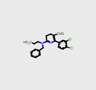 O=CC1=C(c2ccc(Cl)c(Cl)c2)N=C(N(CCC(=O)O)Cc2ccccc2)CC1